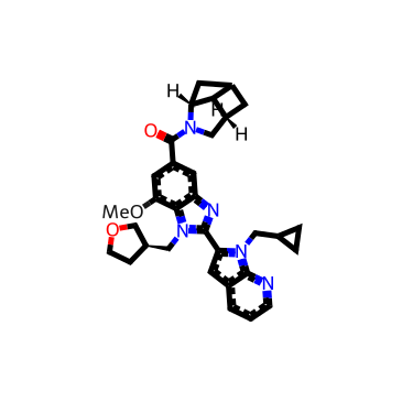 COc1cc(C(=O)N2C[C@H]3CC4C[C@@H]2[C@H]43)cc2nc(-c3cc4cccnc4n3CC3CC3)n(C[C@H]3CCOC3)c12